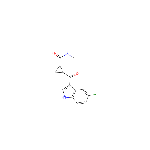 CN(C)C(=O)C1CC1C(=O)c1c[nH]c2ccc(F)cc12